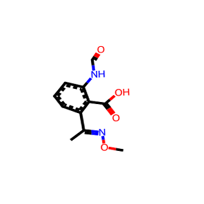 CON=C(C)c1cccc(NC=O)c1C(=O)O